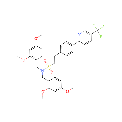 COc1ccc(CN(Cc2ccc(OC)cc2OC)S(=O)(=O)CCc2ccc(-c3ccc(C(F)(F)F)cn3)cc2)c(OC)c1